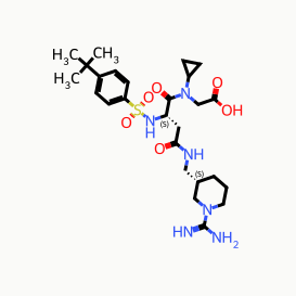 CC(C)(C)c1ccc(S(=O)(=O)N[C@@H](CC(=O)NC[C@@H]2CCCN(C(=N)N)C2)C(=O)N(CC(=O)O)C2CC2)cc1